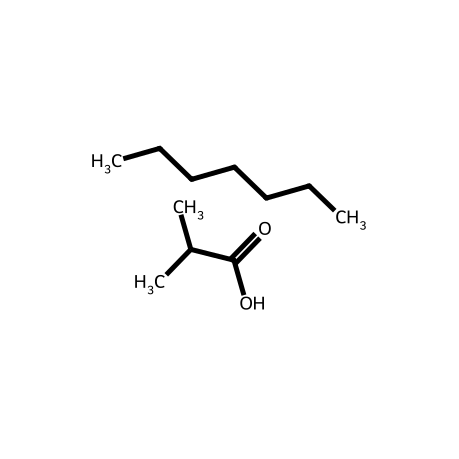 CC(C)C(=O)O.CCCCCCC